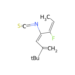 C=C(/C=C(N=C=S)\C(F)=C/C)C(C)(C)C